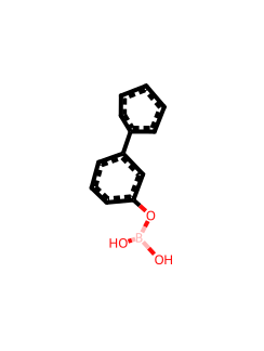 OB(O)Oc1cccc(-c2ccccc2)c1